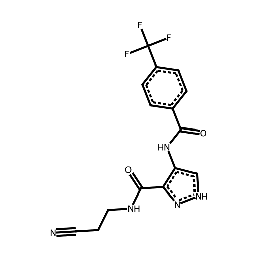 N#CCCNC(=O)c1n[nH]cc1NC(=O)c1ccc(C(F)(F)F)cc1